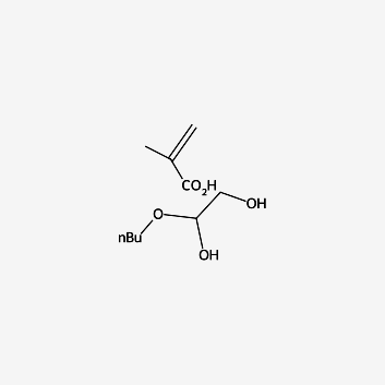 C=C(C)C(=O)O.CCCCOC(O)CO